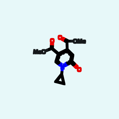 COC(=O)c1cc(=O)n(C2CC2)cc1C(=O)OC